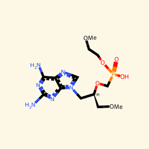 COCCOP(=O)(O)CO[C@@H](COC)Cn1cnc2c(N)nc(N)nc21